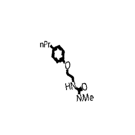 CCCc1ccc(OCCNC(=O)NC)cc1